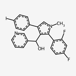 Cn1cc(-c2ccc(I)cc2)c(C(O)c2cccnc2)c1-c1ccc(F)cc1F